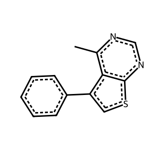 Cc1ncnc2scc(-c3ccccc3)c12